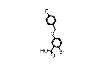 O=C(O)c1cc(OCc2ccc(F)cc2)ccc1Br